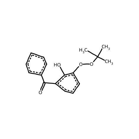 CC(C)(C)OOc1cccc(C(=O)c2ccccc2)c1O